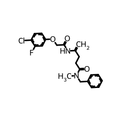 C=C(CCC(=O)N(C)Cc1ccccc1)NC(=O)COc1ccc(Cl)c(F)c1